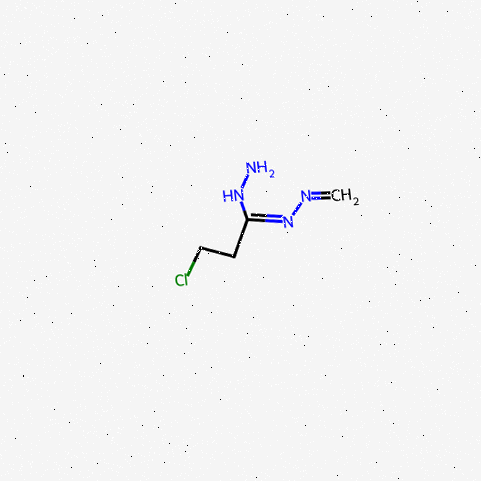 C=N/N=C(/CCCl)NN